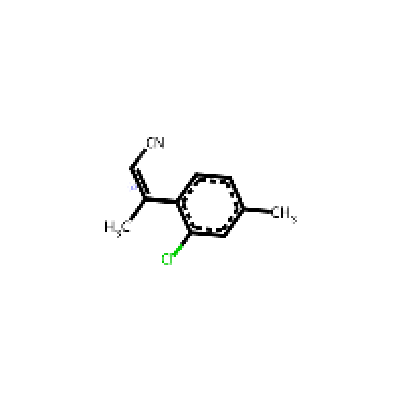 C/C(=C/C#N)c1ccc(C)cc1Cl